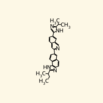 CCC(C)c1nc2ccc3cc(-c4cc5ccc(-c6cnc(C(C)C)[nH]6)cc5cn4)ccc3c2[nH]1